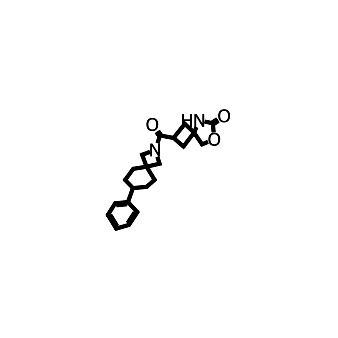 O=C1NC2(CO1)CC(C(=O)N1CC3(CCC(c4ccccc4)CC3)C1)C2